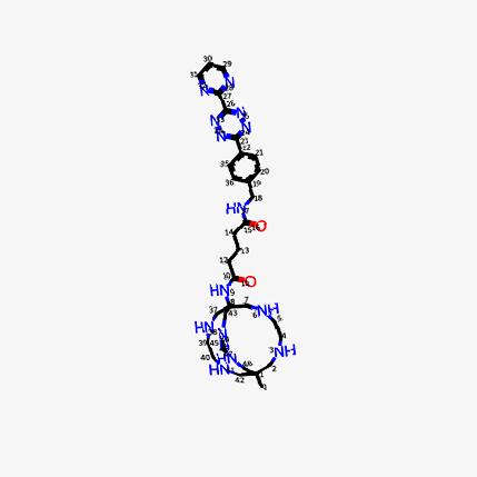 CC12CNCCNCC(NC(=O)CCCC(=O)NCc3ccc(-c4nnc(-c5ncccn5)nn4)cc3)(CNCCNC1)CNCCNC2